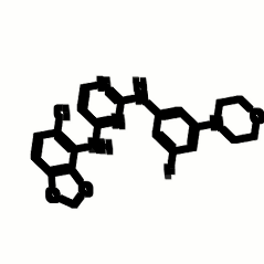 Fc1cc(Nc2nccc(Nc3c(Cl)ccc4c3OCO4)n2)cc(N2CCOCC2)c1